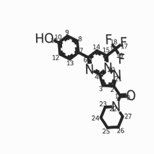 O=C(c1cc2nc(-c3ccc(O)cc3)cc(C(F)(F)F)n2n1)N1CCCCC1